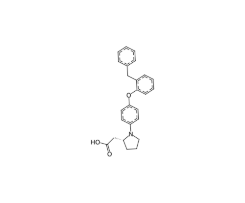 O=C(O)C[C@H]1CCCN1c1ccc(Oc2ccccc2Cc2ccccc2)cc1